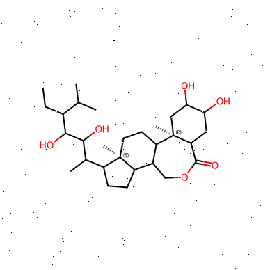 CCC(C(C)C)C(O)C(O)C(C)C1CCC2C3COC(=O)C4CC(O)C(O)C[C@]4(C)C3CC[C@]12C